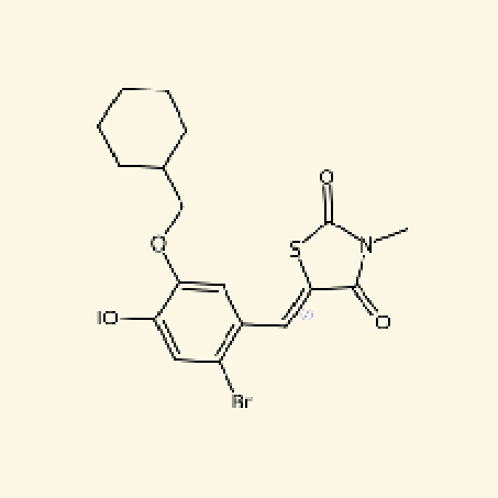 CN1C(=O)S/C(=C\c2cc(OCC3CCCCC3)c(O)cc2Br)C1=O